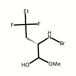 CCC(F)(F)C[C@H](NBr)C(O)OC